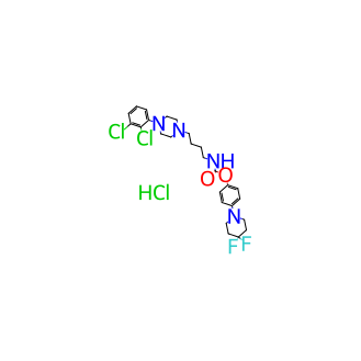 Cl.O=C(NCCCCN1CCN(c2cccc(Cl)c2Cl)CC1)Oc1ccc(N2CCC(F)(F)CC2)cc1